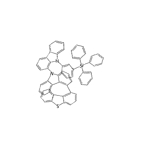 c1ccc([Si](c2ccccc2)(c2ccccc2)c2cccc(-n3c4ccccc4c4cccc(-n5c6ccccc6c6c(-c7cccc8sc9ccccc9c78)cccc65)c43)c2)cc1